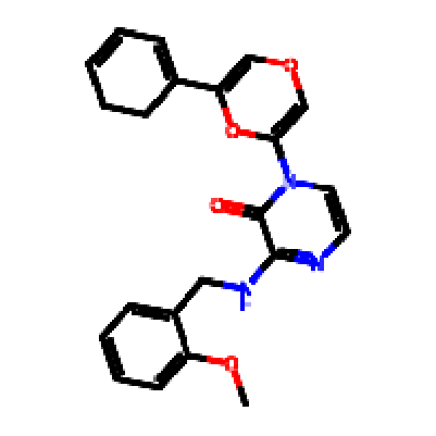 COc1ccccc1CNc1nccn(C2=COC=C(C3=CC=CCC3)O2)c1=O